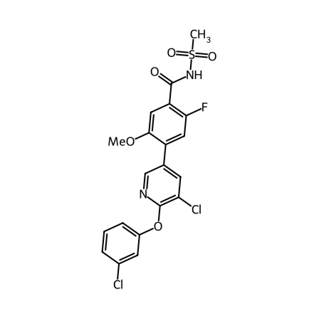 COc1cc(C(=O)NS(C)(=O)=O)c(F)cc1-c1cnc(Oc2cccc(Cl)c2)c(Cl)c1